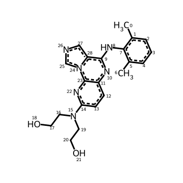 Cc1cccc(C)c1Nc1nc2ccc(N(CCO)CCO)nc2n2cncc12